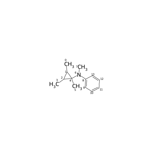 CC1C(C)C1(C)N(C)c1ccccc1